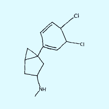 CNC1CC2CC2(C2=CC(Cl)C(Cl)C=C2)C1